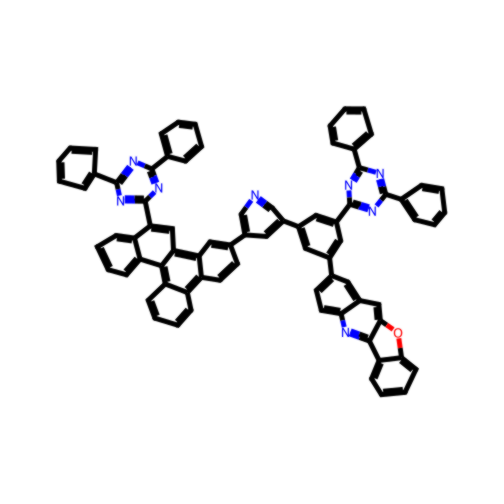 c1ccc(-c2nc(-c3ccccc3)nc(-c3cc(-c4cncc(-c5ccc6c7ccccc7c7c8ccccc8c(-c8nc(-c9ccccc9)nc(-c9ccccc9)n8)cc7c6c5)c4)cc(-c4ccc5nc6c(cc5c4)oc4ccccc46)c3)n2)cc1